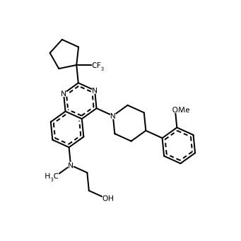 COc1ccccc1C1CCN(c2nc(C3(C(F)(F)F)CCCC3)nc3ccc(N(C)CCO)cc23)CC1